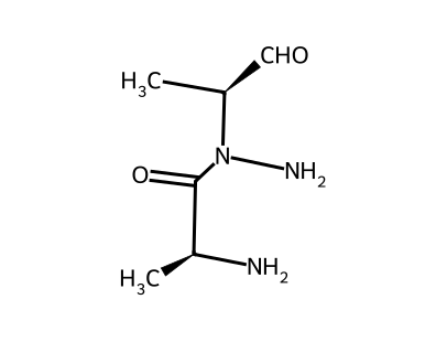 C[C@H](N)C(=O)N(N)[C@@H](C)C=O